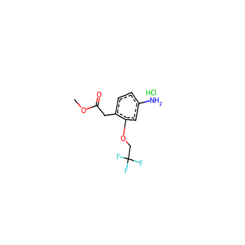 COC(=O)Cc1ccc(N)cc1OCC(F)(F)F.Cl